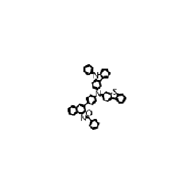 c1ccc(-c2nc3c(o2)c(-c2ccc(N(c4ccc5c(c4)sc4ccccc45)c4ccc5c(c4)c4ccccc4n5-c4ccccc4)cc2)cc2ccccc23)cc1